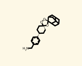 NCc1ccc([C@H]2CC[C@]3(CC2)OO[C@]2(O3)C3CC4CC(C3)CC2C4)cc1